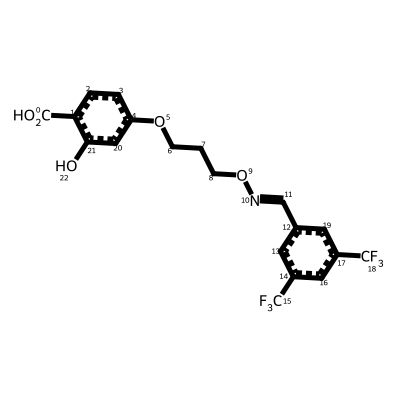 O=C(O)c1ccc(OCCCON=Cc2cc(C(F)(F)F)cc(C(F)(F)F)c2)cc1O